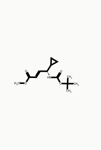 COC(=O)/C=C/[C@@H](NC(=O)OC(C)(C)C)C1CC1